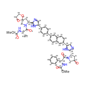 COC(=O)N[C@H](C(=O)N1CC2(C[C@H]1c1ncc(-c3ccc(-c4ccc5cc(-c6cnc([C@@H]7CC(=O)CN7C(=O)[C@H](NC(=O)OC)c7ccccc7)[nH]6)ccc5c4)cc3)[nH]1)OCCO2)C(C)C